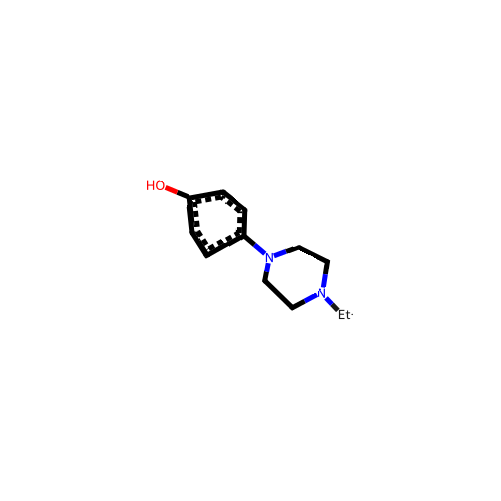 C[CH]N1CCN(c2ccc(O)cc2)CC1